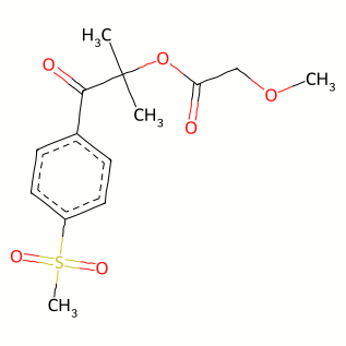 COCC(=O)OC(C)(C)C(=O)c1ccc(S(C)(=O)=O)cc1